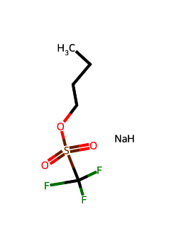 CCCCOS(=O)(=O)C(F)(F)F.[NaH]